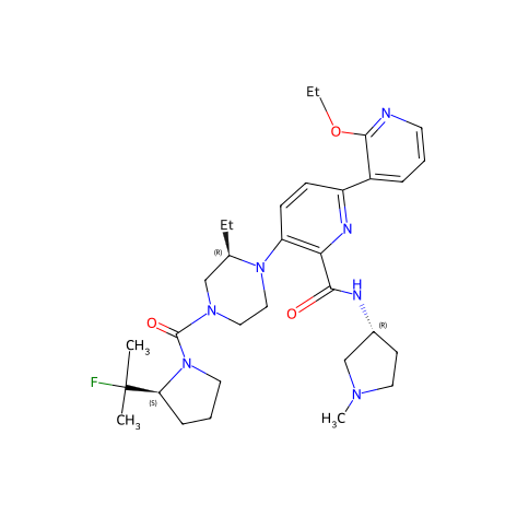 CCOc1ncccc1-c1ccc(N2CCN(C(=O)N3CCC[C@H]3C(C)(C)F)C[C@H]2CC)c(C(=O)N[C@@H]2CCN(C)C2)n1